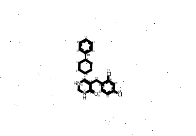 O=C1NCNC([C@H]2CC[C@H](c3ccccc3)CC2)=C1Cc1ccc(Cl)cc1Cl